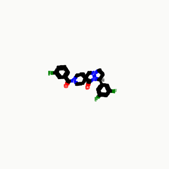 O=C(c1cccc(F)c1)N1CCC2(CC1)CN1CC[C@@H](c3cc(F)cc(F)c3)N1C2=O